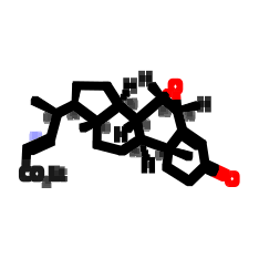 CCOC(=O)/C=C/[C@@H](C)[C@H]1CC[C@H]2[C@@H]3[C@@H]4O[C@@H]4C4=CC(=O)CC[C@]4(C)[C@H]3CC[C@]12C